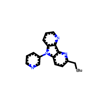 CC(C)(C)Cc1ccc2c(n1)c1ncccc1n2-c1cccnc1